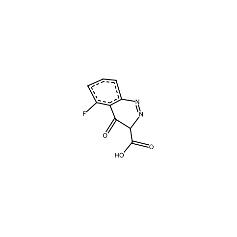 O=C(O)C1N=Nc2cccc(F)c2C1=O